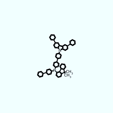 CC1(C)c2ccccc2-c2c(N(c3ccc(-c4ccccc4)cc3)c3ccc(-c4ccc(-n5c6ccc(-c7ccccc7)cc6c6cc(-c7ccccc7)ccc65)cc4)cc3)cccc21